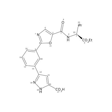 CCOC(=O)[C@@H](NC(=O)c1cnc(-c2cccc(-c3cc(C(=O)O)[nH]n3)c2)o1)C(C)C